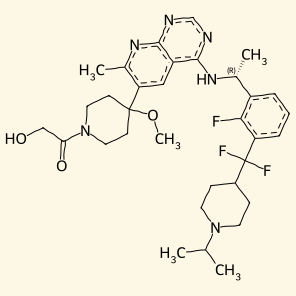 COC1(c2cc3c(N[C@H](C)c4cccc(C(F)(F)C5CCN(C(C)C)CC5)c4F)ncnc3nc2C)CCN(C(=O)CO)CC1